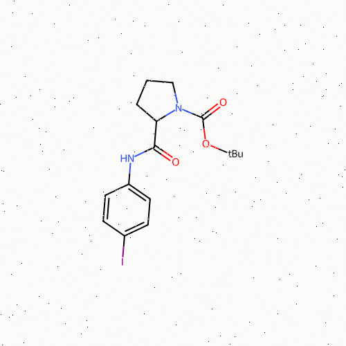 CC(C)(C)OC(=O)N1CCCC1C(=O)Nc1ccc(I)cc1